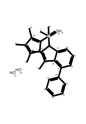 CC1=C(C)C(C)[C]([Zr]([CH3])([CH3])(=[SiH2])[CH]2C(C)=C(C)c3c(-c4ccccc4)cccc32)=C1C.Cl.Cl